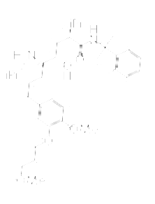 COCCCOc1cc(C[C@@H](C[C@H](N)[C@@H](O)C[C@H](C(=O)NC(C)(C)c2ccccc2)C(C)C)C(C)C)ccc1OC